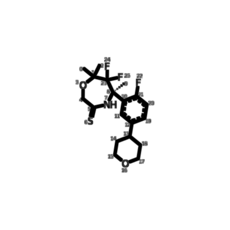 CC1(C)OCC(=S)N[C@](C)(c2cc(C3CCOCC3)ccc2F)C1(F)F